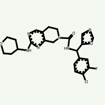 O=C(NC(c1ccc(Cl)c(F)c1)c1cnco1)N1CCc2cnc(NC3CCOCC3)nc2C1